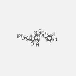 CC(CCc1ccc(Cl)c(Cl)c1)NC(=O)C1=C(O)C(=O)N(CCOC(C)C)C1